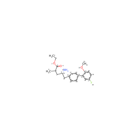 CCOC(=O)C(C)C[C@H](N)Cc1ccc(-c2cc(F)ccc2OC)cc1